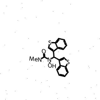 CNC(=O)N(O)C(c1csc2ccccc12)c1csc2ccccc12